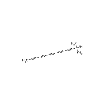 [3H]C(P)(P)C#CC#CC#CC#CC#CC